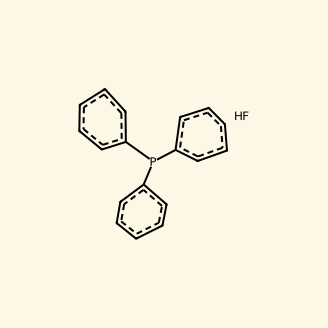 F.c1ccc(P(c2ccccc2)c2ccccc2)cc1